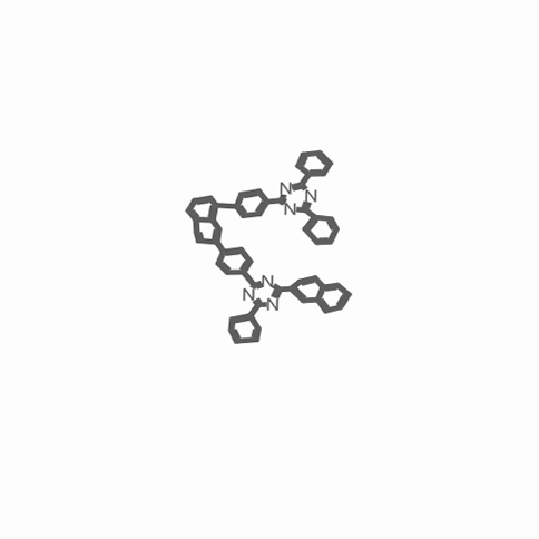 c1ccc(-c2nc(-c3ccccc3)nc(-c3ccc(-c4cccc5ccc(-c6ccc(-c7nc(-c8ccccc8)nc(-c8ccc9ccccc9c8)n7)cc6)cc45)cc3)n2)cc1